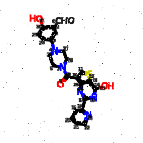 O=Cc1cc(N2CCN(C(=O)c3csc4c(O)nc(-c5ccccn5)nc34)CC2)ccc1O